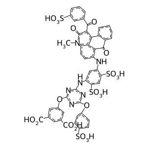 Cn1c(=O)c(C(=O)c2cccc(S(=O)(=O)O)c2)c2c3c(c(Nc4cc(Nc5nc(Oc6ccc(S(=O)(=O)O)cc6)nc(Oc6cc(C(=O)O)cc(C(=O)O)c6)n5)c(S(=O)(=O)O)cc4S(=O)(=O)O)ccc31)C(=O)c1ccccc1-2